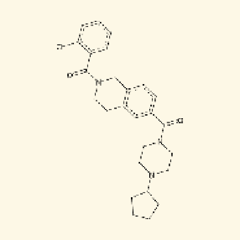 O=C(c1ccc2c(c1)CCN(C(=O)c1ccccc1Cl)C2)N1CCN(C2CCCC2)CC1